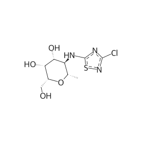 C[C@@H]1O[C@H](CO)[C@H](O)[C@H](O)[C@H]1Nc1nc(Cl)ns1